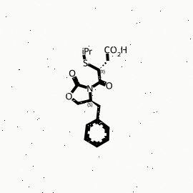 CC(C)S[C@H](CC(=O)O)C(=O)N1C(=O)OC[C@@H]1Cc1ccccc1